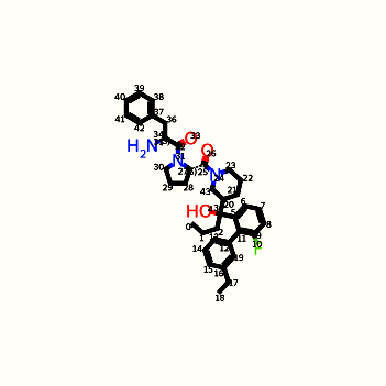 [CH2]CCC(O)(c1cccc(F)c1-c1cccc(CC)c1)C1CCCN(C(=O)[C@@H]2CCCN2C(=O)[C@@H](N)Cc2ccccc2)C1